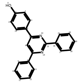 Oc1ccc(-c2cc(-c3ccccc3)nc(-c3ccccc3)n2)cc1